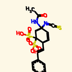 CC(=O)NC1(N=C=S)C=CC(C=Cc2ccccc2)C(S(=O)(=O)O)(S(=O)(=O)O)C1